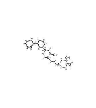 CC1C(=O)N(CCCN2CCC3(CC3)C(O)C2)CCN1c1cccc(-c2ccccn2)c1